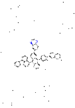 C1=CC2c3cccc4c(-c5c6ccccc6c(-c6ccc(-c7ccc8ccccc8c7)cc6)c6cc(-c7ccc8nccnc8c7)ccc56)ccc(c34)C2C=C1